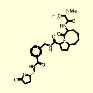 CN[C@@H](C)C(=O)NC1CCCCC2CCC(C(=O)NCc3cccc(C(=O)NC[C@@H]4CCC(=O)O4)c3)N2C1=O